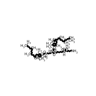 Cc1c(C)c2c(c(C)c1OCC(=O)NCCCC[C@H](NC(=O)COc1c(C)c(C)c3c(c1C)CC[C@@](C)(CCC[C@H](C)CCC[C@H](C)CCCC(C)C)O3)C(=O)NCCCCCC(=O)N[C@@H](CCCCN)C(N)=O)CC[C@@](C)(CCC[C@H](C)CCC[C@H](C)CCCC(C)C)O2